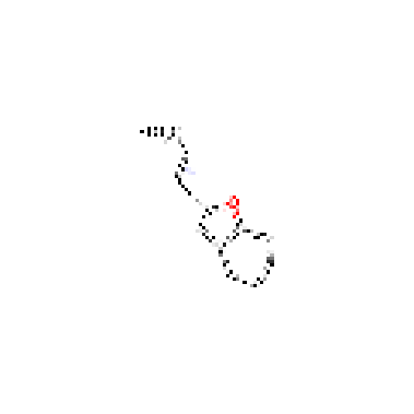 CCOC(=O)/C=C/c1cc2ccccc2o1